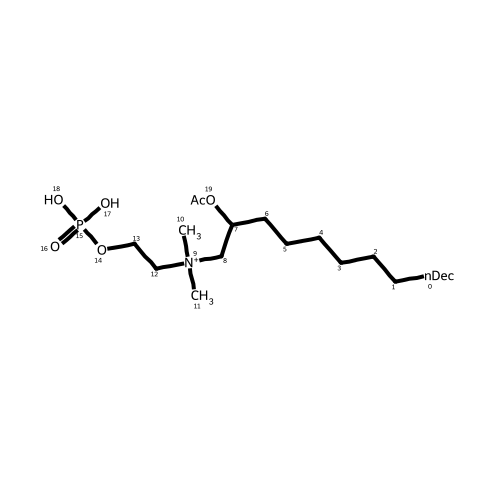 CCCCCCCCCCCCCCCCC(C[N+](C)(C)CCOP(=O)(O)O)OC(C)=O